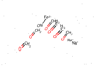 C=O.C=O.C=O.C=O.C=O.C=O.O=[N][Fe-2].[Na+].[Na+]